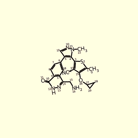 Cc1sc(-c2c(-c3ccc4c(=O)[nH]nc(CN)c4c3)cnn2C)c(C#N)c1OC1CC1